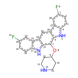 Fc1ccc2[nH]c3c(OC4CCNCC4)c4[nH]c5ccc(F)cc5c4cc3c2c1